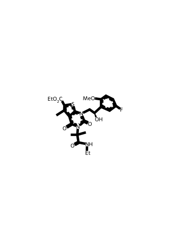 CCNC(=O)C(C)(C)n1c(=O)c2c(C)c(C(=O)OCC)sc2n(C[C@H](O)c2cc(F)ccc2OC)c1=O